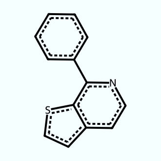 c1ccc(-c2nccc3ccsc23)cc1